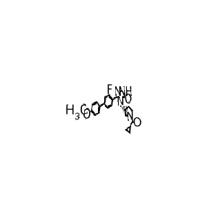 COc1ccc(-c2ccc(-c3n[nH]c(=O)n3C[C@@H]3CCN(C(=O)C4CC4)C3)c(F)c2)cc1